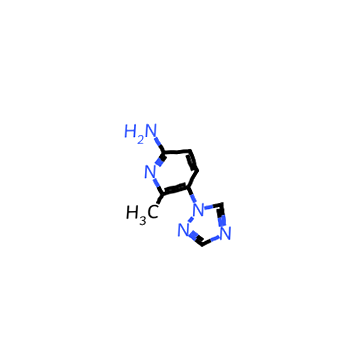 Cc1nc(N)ccc1-n1cncn1